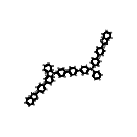 c1ccc(N(c2ccc(-c3ccc(-c4ccc(-n5c6ccccc6c6cc(-c7ccc(-c8nc9ccccc9o8)cc7)ccc65)cc4)cc3)cc2)c2ccc(-c3ccc(-c4nc5ccccc5o4)cc3)cc2)cc1